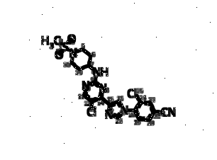 CS(=O)(=O)N1CCC(Nc2ncc(Cl)c(-c3cn(-c4ccc(C#N)cc4Cl)cn3)n2)CC1